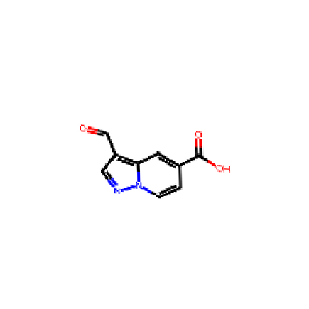 O=Cc1cnn2ccc(C(=O)O)cc12